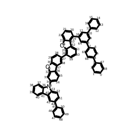 c1ccc(-c2ccc(-c3cc(-c4ccccc4)cc(-c4cccc5oc6c(-c7ccc8oc9cc(-n%10c%11ccccc%11c%11cc(-c%12ccccc%12)ccc%11%10)ccc9c8c7)cccc6c45)c3)cc2)cc1